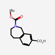 CC(C)(C)OC(=O)N1CCCc2ccc(C(=O)O)cc2C1